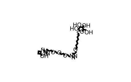 CN(C1CCC1O)n1cc(COCCOCCOCCn2cc(COCCCCCCCSC3OC(CO)C(O)C(O)C3O)nn2)nn1